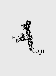 Nc1c(Br)cc(C[C@@H](NC(=O)N2CCC(N3Cc4ccccc4NC3=O)CC2)C(=O)N2CCN(c3nc(C(=O)O)cs3)CC2)cc1Br